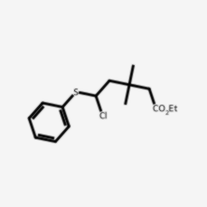 CCOC(=O)CC(C)(C)CC(Cl)Sc1ccccc1